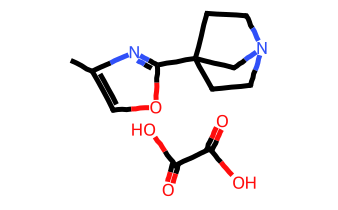 Cc1coc(C23CCN(CC2)C3)n1.O=C(O)C(=O)O